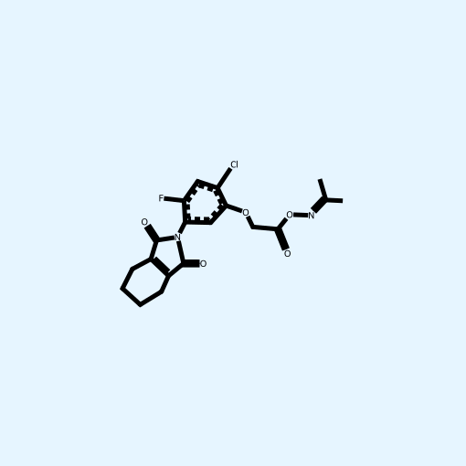 CC(C)=NOC(=O)COc1cc(N2C(=O)C3=C(CCCC3)C2=O)c(F)cc1Cl